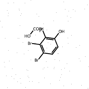 O=C(O)O.Oc1ccc(Br)c(Br)c1Br